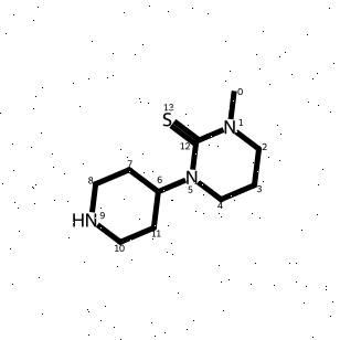 CN1CCCN(C2CCNCC2)C1=S